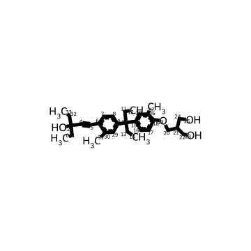 CCC(O)(C#Cc1ccc(C(CC)(CC)c2ccc(OCC(CO)CO)c(C)c2)cc1C)CC